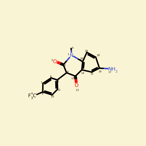 CN1C(=O)C(c2ccc(C(F)(F)F)cc2)C(=O)c2cc(N)ccc21